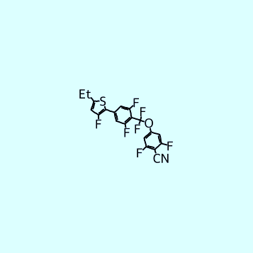 CCc1cc(F)c(-c2cc(F)c(C(F)(F)Oc3cc(F)c(C#N)c(F)c3)c(F)c2)s1